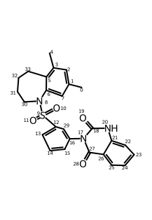 Cc1cc(C)c2c(c1)N(S(=O)(=O)c1cccc(-n3c(=O)[nH]c4ccccc4c3=O)c1)CCCC2